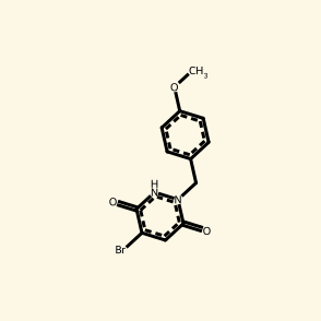 COc1ccc(Cn2[nH]c(=O)c(Br)cc2=O)cc1